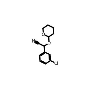 N#CC(OC1CCCCO1)c1cccc(Cl)c1